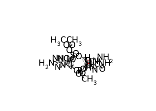 CCO[P@]1(=O)OC[C@@]23CC2[C@@H](n2cnc4c(N)ncnc42)[C@H](O)[C@@H]3O[P@@](=O)(SCOC(=O)OC(C)C)OC[C@H]2O[C@@H](n3cnc4c(=O)[nH]c(N)nc43)[C@H](O1)[C@@H]2OC